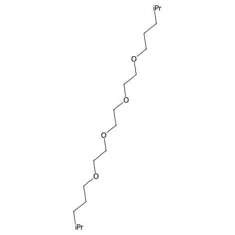 CC(C)CCCOCCOCCOCCOCCCC(C)C